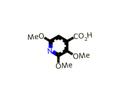 COc1cc(C(=O)O)c(OC)c(OC)n1